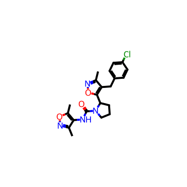 Cc1noc(C2CCCN2C(=O)Nc2c(C)noc2C)c1Cc1ccc(Cl)cc1